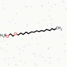 [CH2]CCCCCCCCCCCCCCCOCCOC